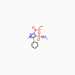 CCOC(=O)c1nn(C)c(-c2ccccc2)c1S(N)(=O)=O